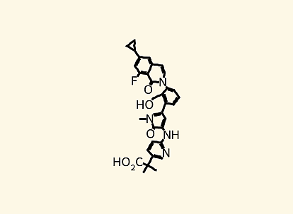 Cn1cc(-c2cccc(-n3ccc4cc(C5CC5)cc(F)c4c3=O)c2CO)cc(Nc2ccc(C(C)(C)C(=O)O)cn2)c1=O